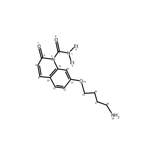 CCN(CC)C(=O)n1c(=O)ccc2ccc(OCCCCN)cc21